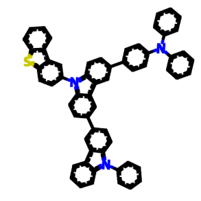 c1ccc(N(c2ccccc2)c2ccc(-c3ccc4c(c3)c3cc(-c5ccc6c(c5)c5ccccc5n6-c5ccccc5)ccc3n4-c3ccc4sc5ccccc5c4c3)cc2)cc1